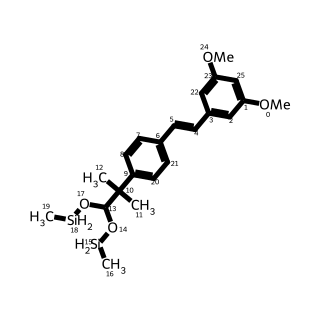 COc1cc(C=Cc2ccc(C(C)(C)C(O[SiH2]C)O[SiH2]C)cc2)cc(OC)c1